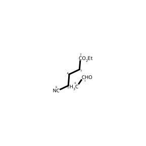 CC=O.CCOC(=O)CCCC#N